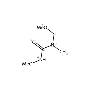 COCN(C)C(=O)NOC